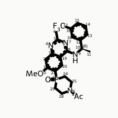 COc1cc2nc(C)nc(N[C@H](C)c3cccc(C(F)(F)F)c3)c2cc1P1(=O)CCN(C(C)=O)CC1